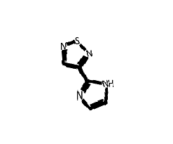 c1c[nH]c(-c2cnsn2)n1